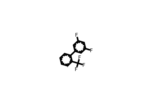 Fc1cc(F)cc(-c2ccc[c]c2C(F)(F)F)c1